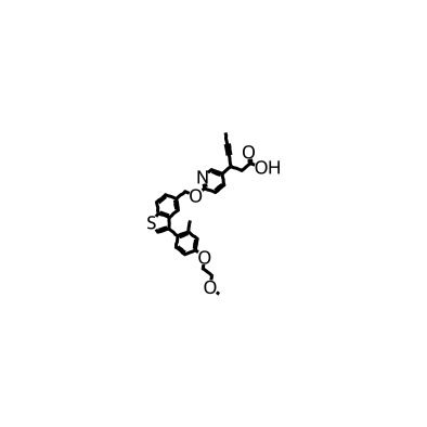 CC#CC(CC(=O)O)c1ccc(OCc2ccc3scc(-c4ccc(OCCOC)cc4C)c3c2)nc1